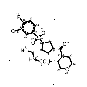 N#CCNC(=O)O.O=C([C@@H]1CC[C@@H](S(=O)(=O)c2ccc(F)c(Cl)c2)C1)N1CCOCC1